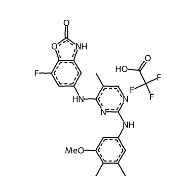 COc1cc(Nc2ncc(C)c(Nc3cc(F)c4oc(=O)[nH]c4c3)n2)cc(C)c1C.O=C(O)C(F)(F)F